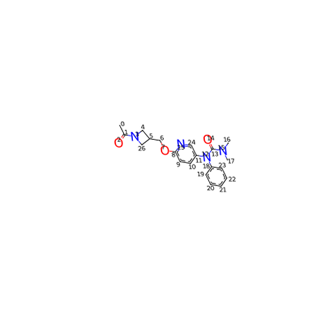 CC(=O)N1CC(COc2ccc(N(C(=O)N(C)C)c3ccccc3)cn2)C1